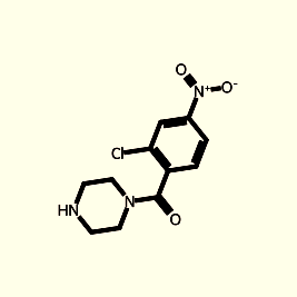 O=C(c1ccc([N+](=O)[O-])cc1Cl)N1CCNCC1